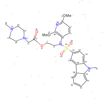 COc1ccc(N(CCOC(=O)CN2CCN(C)CC2)S(=O)(=O)c2ccc3c(c2)c2ccccc2n3C)c(OC)n1